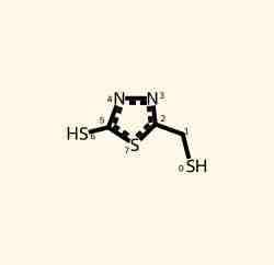 SCc1nnc(S)s1